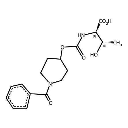 C[C@H](O)[C@@H](NC(=O)OC1CCN(C(=O)c2ccccc2)CC1)C(=O)O